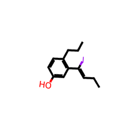 CCC=C(I)c1cc(O)ccc1CCC